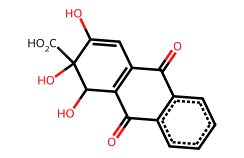 O=C1C2=C(C(=O)c3ccccc31)C(O)C(O)(C(=O)O)C(O)=C2